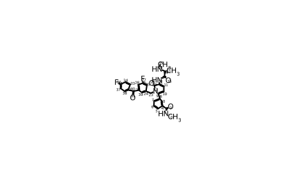 CNC(=O)c1cccc(-c2ccc(NC(=O)[C@H](C)NC)c(=O)n2Cc2cc(F)cc(C(=O)c3ccc(F)cc3)c2)c1